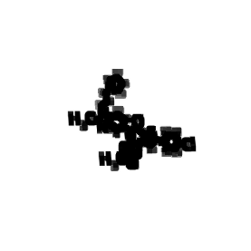 Cc1nc2cc(N3CN(OS(C)(=O)=O)c4cc(-c5ccc(Cl)cc5)sc4C3=O)ccc2n1CCCN1CCCC1